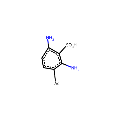 CC(=O)c1ccc(N)c(S(=O)(=O)O)c1N